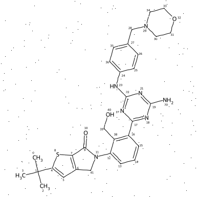 CC(C)(C)c1cc2c(s1)C(=O)N(c1cccc(-c3nc(N)nc(Nc4ccc(CN5CCOCC5)cc4)n3)c1CO)C2